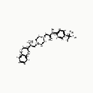 O=C(CN1CCN(CC(O)C2COc3ccccc3O2)CC1)Nc1ccc(C(F)(F)F)cc1